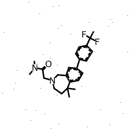 CN(C)C(=O)CN1CCC(C)(C)c2ccc(-c3ccc(C(C)(F)F)cc3)cc2C1